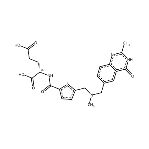 Cc1nc2ccc(CN(C)Cc3ccc(C(=O)N[C@@H](CCC(=O)O)C(=O)O)s3)cc2c(=O)[nH]1